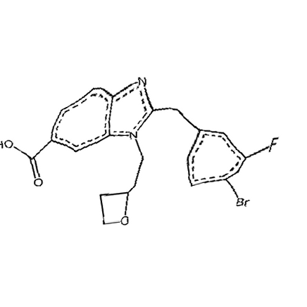 O=C(O)c1ccc2nc(Cc3ccc(Br)c(F)c3)n(CC3CCO3)c2c1